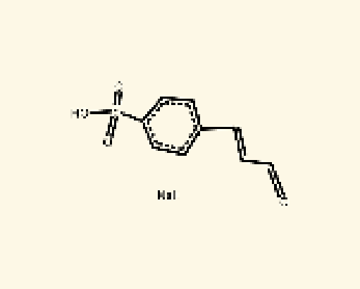 O=CC=Cc1ccc(S(=O)(=O)O)cc1.[NaH]